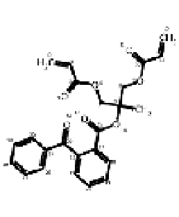 C=CC(=O)OCC(C)(COC(=O)C=C)OC(=O)c1ccccc1C(=O)c1ccccc1